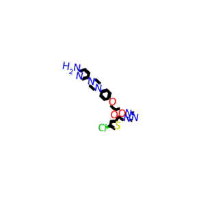 Nc1ccc(N2CCN(c3ccc(OCC4COC(Cn5cncn5)(c5cc(Cl)cs5)O4)cc3)CC2)cn1